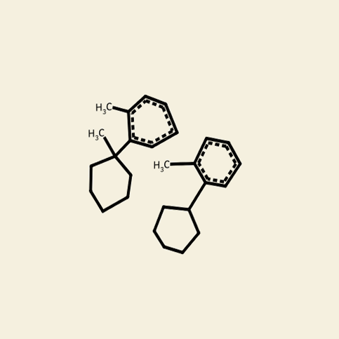 Cc1ccccc1C1(C)CCCCC1.Cc1ccccc1C1CCCCC1